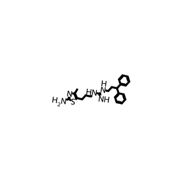 Cc1nc(N)sc1CCCNC(=N)NCCC(c1ccccc1)c1ccccc1